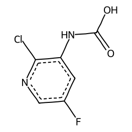 O=C(O)Nc1cc(F)cnc1Cl